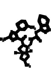 Cc1cccc(-c2sc(C)nc2C(=O)N2C[C@@H]3CC(C)C[C@@H]3[C@H]2CNC(=O)Oc2noc3ccccc23)c1